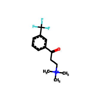 C[N+](C)(C)CCC(=O)c1cccc(C(F)(F)F)c1